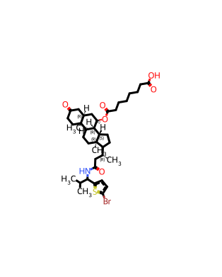 CC(C)C(NC(=O)C[C@@H](C)C1CC[C@H]2[C@@H]3[C@H](OC(=O)CCCCCCC(=O)O)C[C@@H]4CC(=O)CC[C@]4(C)[C@H]3CC[C@]12C)c1ccc(Br)s1